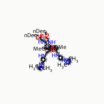 CCCCCCCCCCCCOC(=O)CCNCCC[Si]1(O[Si](CCCNc2ccc(/N=N/c3n(C)cc[n+]3C)cc2)(OC)O[Si](CCCNCCC(=O)OCCCCCCCCCCC)(OC)OC)O[Si](CCCNc2ccc(/N=N/c3n(C)cc[n+]3C)cc2)(OC)O1